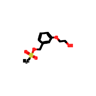 CS(=O)(=O)OCc1cccc(OCCO)c1